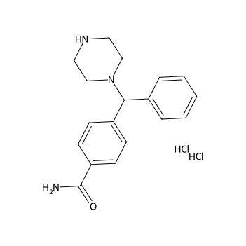 Cl.Cl.NC(=O)c1ccc(C(c2ccccc2)N2CCNCC2)cc1